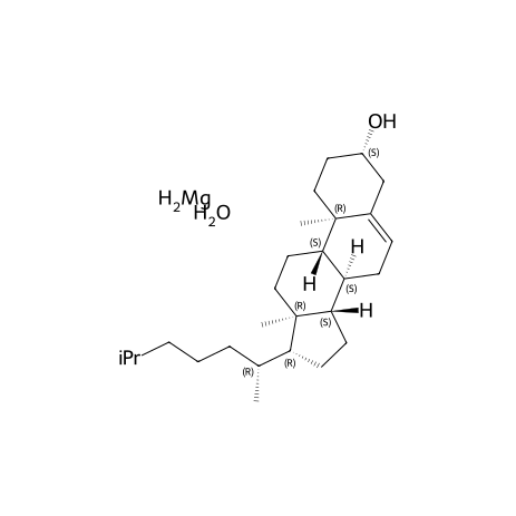 CC(C)CCC[C@@H](C)[C@H]1CC[C@H]2[C@@H]3CC=C4C[C@@H](O)CC[C@]4(C)[C@H]3CC[C@]12C.O.[MgH2]